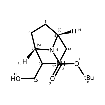 CC(C)(C)OC(=O)N1[C@@H]2CC[C@H]1C(CO)NC2